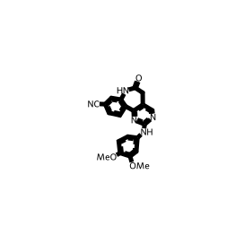 COc1ccc(Nc2ncc3c(n2)-c2ccc(C#N)cc2NC(=O)C3)cc1OC